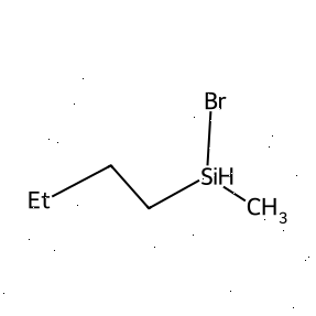 CCCC[SiH](C)Br